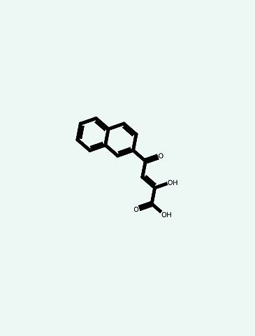 O=C(O)C(O)=CC(=O)c1ccc2ccccc2c1